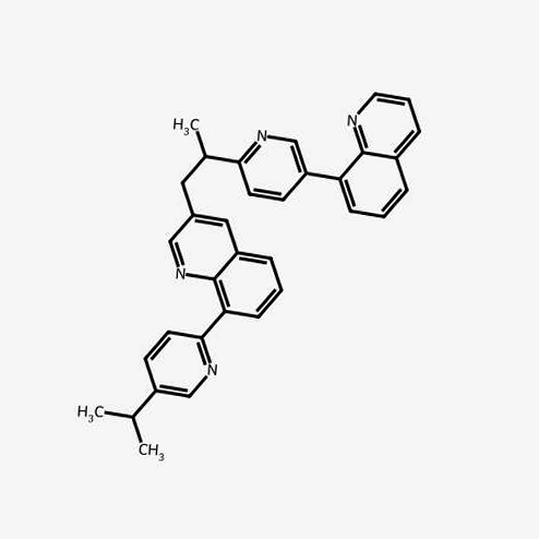 CC(C)c1ccc(-c2cccc3cc(CC(C)c4ccc(-c5cccc6cccnc56)cn4)cnc23)nc1